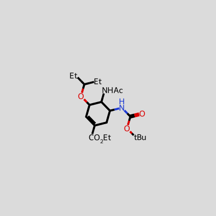 CCOC(=O)C1=CC(OC(CC)CC)C(NC(C)=O)C(NC(=O)OC(C)(C)C)C1